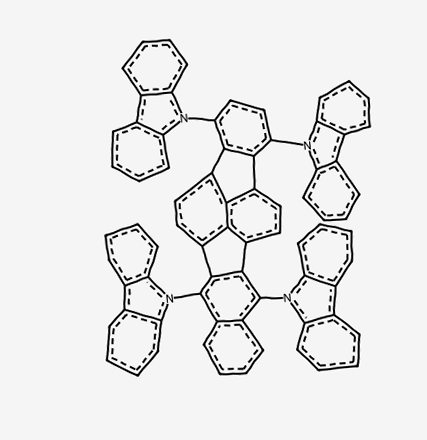 c1ccc2c(-n3c4ccccc4c4ccccc43)c3c(c(-n4c5ccccc5c5ccccc54)c2c1)-c1ccc2c4c(ccc-3c14)-c1c(-n3c4ccccc4c4ccccc43)ccc(-n3c4ccccc4c4ccccc43)c1-2